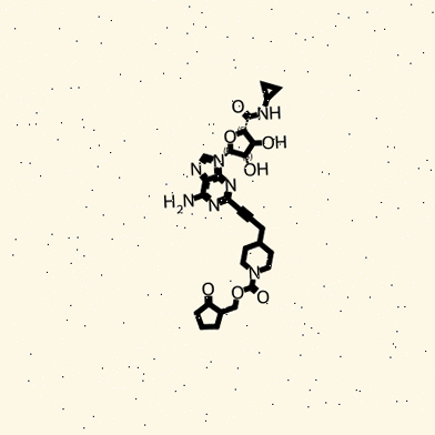 Nc1nc(C#CCC2CCN(C(=O)OCC3CCCC3=O)CC2)nc2c1ncn2[C@@H]1O[C@H](C(=O)NC2CC2)C(O)[C@@H]1O